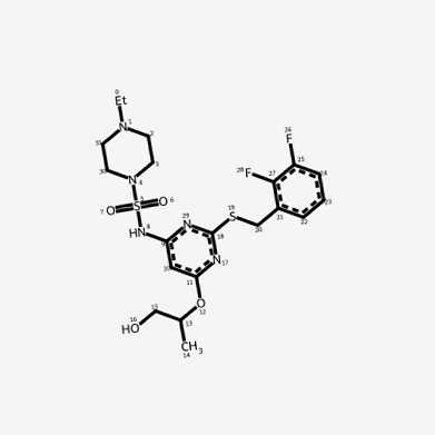 CCN1CCN(S(=O)(=O)Nc2cc(OC(C)CO)nc(SCc3cccc(F)c3F)n2)CC1